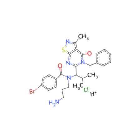 Cc1nsc2nc(C(C(C)C)N(CCCN)C(=O)c3ccc(Br)cc3)n(Cc3ccccc3)c(=O)c12.[Cl-].[H+]